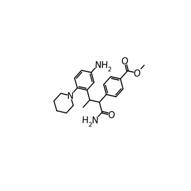 COC(=O)c1ccc(C(C(N)=O)C(C)c2cc(N)ccc2N2CCCCC2)cc1